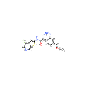 NC[C@@H](C(=O)Nc1cc2c(F)cncc2s1)c1ccc(CO[N+](=O)[O-])cc1